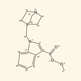 COOC(=O)c1cn(CC23CCN(CC2)CC3)c2ccccc12